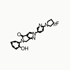 O=C1c2cn(-c3ccc(N4CC[C@@H](F)C4)nc3)nc2CN1c1ccccc1O